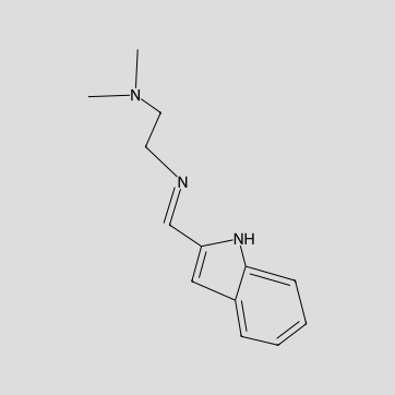 CN(C)CC/N=C/c1cc2ccccc2[nH]1